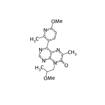 COc1ccc(-c2ncnc3c2nc(C)c(=O)n3CC(C)OC)c(C)n1